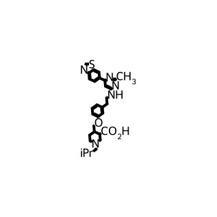 Cc1nc(NCCc2cccc(OCC3CCN(CC(C)C)CC3C(=O)O)c2)cc(-c2ccc3ncsc3c2)n1